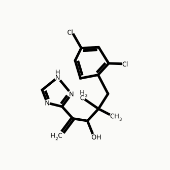 C=C(c1nc[nH]n1)C(O)C(C)(C)Cc1ccc(Cl)cc1Cl